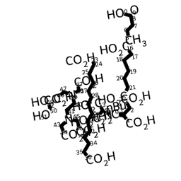 C=C(CC(=O)O)C(=O)O.CCCC(=O)O.CCCCN.O=C(O)CC(=O)O.O=C(O)CCCCCC(=O)O.O=C(O)CCCCCCCCCCCCC(=O)O.O=C(O)CN(CCN(CC(=O)O)CC(=O)O)CC(=O)O.O=C(O)CO